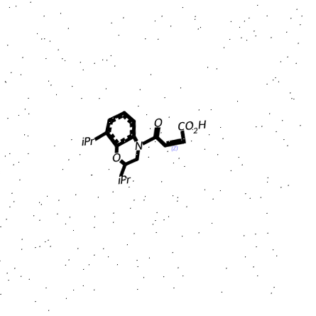 CC(C)c1cccc2c1OC(C(C)C)CN2C(=O)/C=C\C(=O)O